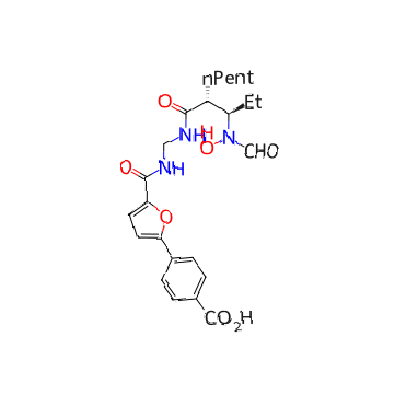 CCCCC[C@@H](C(=O)NCNC(=O)c1ccc(-c2ccc(C(=O)O)cc2)o1)[C@@H](CC)N(O)C=O